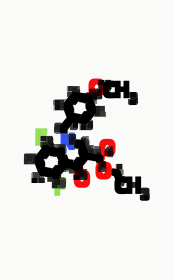 CCOC(=O)c1cn(Cc2ccc(OC)cc2)c2c(F)ccc(F)c2c1=O